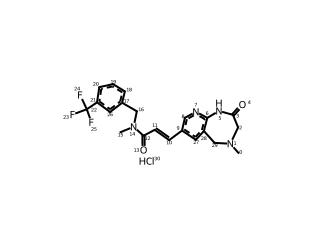 CN1CC(=O)Nc2ncc(C=CC(=O)N(C)Cc3cccc(C(F)(F)F)c3)cc2C1.Cl